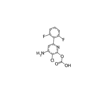 Nc1cc(-c2c(F)cccc2F)nc(OC(=O)O)c1Cl